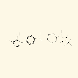 CC(C)(C)S(=O)(=O)N[C@H]1CC[C@H](CNc2ccc(-n3cnc(Cl)c3Cl)cc2)CC1